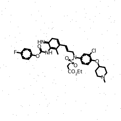 CCOC(=O)CS(=O)(=O)N(C/C=C/C1=CCC(=N)C(NC(=O)Oc2ccc(F)cc2)=C1C)c1ccc(OC2CCN(C)CC2)c(Cl)c1